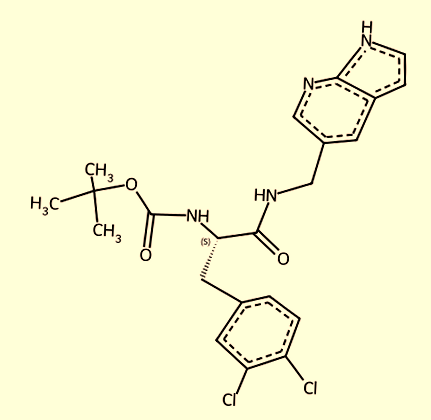 CC(C)(C)OC(=O)N[C@@H](Cc1ccc(Cl)c(Cl)c1)C(=O)NCc1cnc2[nH]ccc2c1